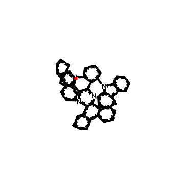 c1ccc(-c2nc3c4ccccc4c4ccccc4c3nc2-c2c(-n3c4ccccc4c4ccccc43)cccc2-n2c3ccccc3c3ccccc32)cc1